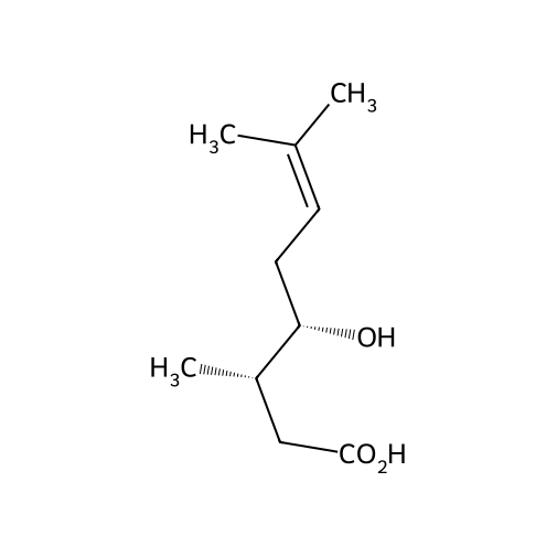 CC(C)=CC[C@H](O)[C@@H](C)CC(=O)O